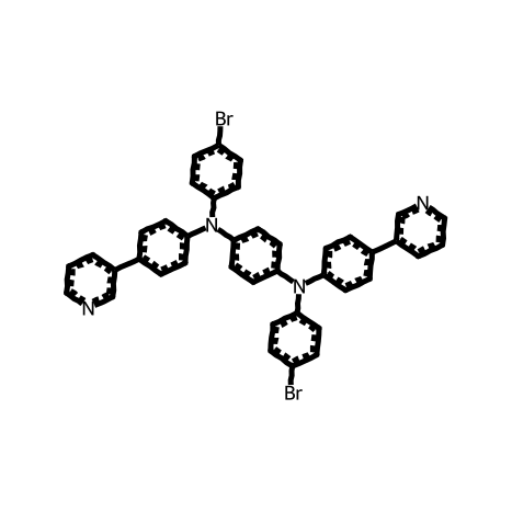 Brc1ccc(N(c2ccc(-c3cccnc3)cc2)c2ccc(N(c3ccc(Br)cc3)c3ccc(-c4cccnc4)cc3)cc2)cc1